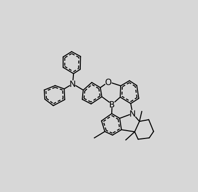 Cc1cc2c3c(c1)C1(C)CCCCC1(C)N3c1cccc3c1B2c1ccc(N(c2ccccc2)c2ccccc2)cc1O3